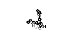 CC(C(=O)S)c1occ(-c2ccc(OCc3ccc4ccccc4n3)cc2)c1-c1ccc(OCc2ccc3ccccc3n2)cc1